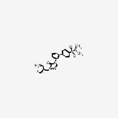 CN(C)S(=O)(=O)c1ccc(-c2cccc(-n3cnn(C/C(=C/F)CN)c3=O)c2)cc1